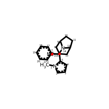 Cn1cccc1C1(C#N)CC2CCC(C1)N2Cc1ccccc1